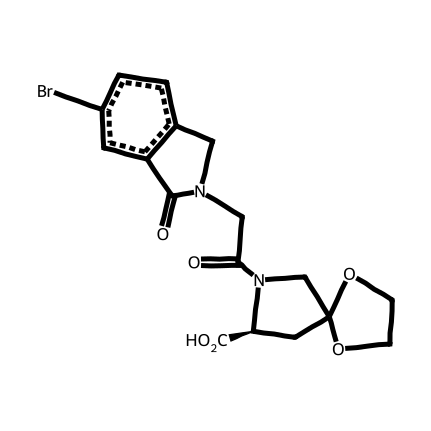 O=C(O)[C@@H]1CC2(CN1C(=O)CN1Cc3ccc(Br)cc3C1=O)OCCO2